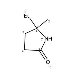 CCC1(C)CCC(=O)N1